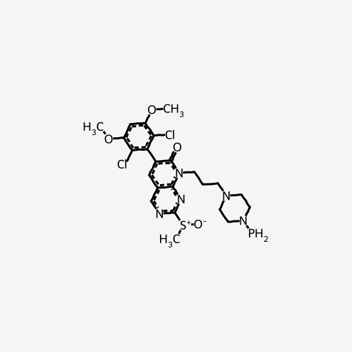 COc1cc(OC)c(Cl)c(-c2cc3cnc([S+](C)[O-])nc3n(CCCN3CCN(P)CC3)c2=O)c1Cl